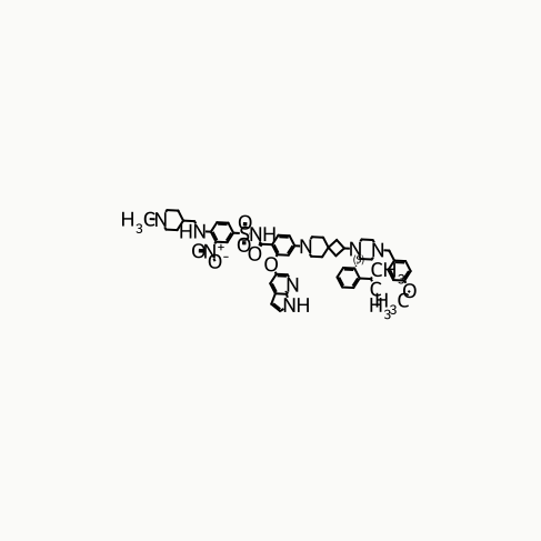 COc1ccc(CN2CCN(C3CC4(CCN(c5ccc(C(=O)NS(=O)(=O)c6ccc(NCC7CCN(C)CC7)c([N+](=O)[O-])c6)c(Oc6cnc7[nH]ccc7c6)c5)CC4)C3)[C@@H](c3ccccc3C(C)C)C2)cc1